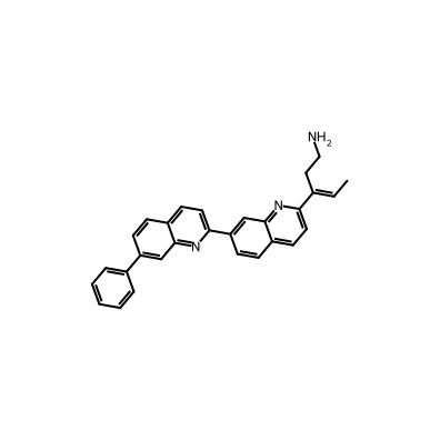 C/C=C(\CCN)c1ccc2ccc(-c3ccc4ccc(-c5ccccc5)cc4n3)cc2n1